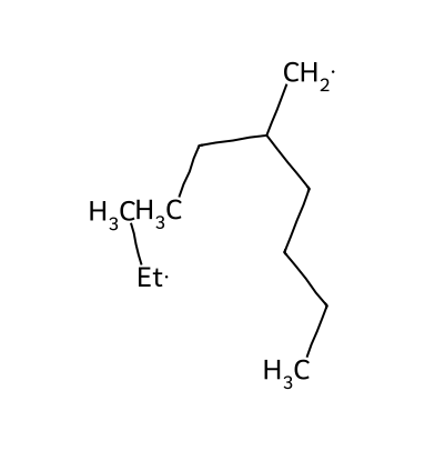 C[CH]C.[CH2]C(CC)CCCC